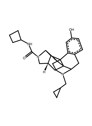 O=C(NC1CCC1)N1C[C@H]2CC34CCC1C2C31CCN(CC2CC2)C4Cc2ccc(O)cc21